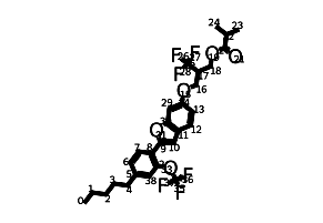 CCCCCc1ccc(-c2cc3ccc(OCC(COC(=O)C(C)C)C(F)(F)F)cc3o2)c(OC(F)(F)F)c1